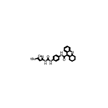 CC(C)(C)c1cc(NC(=O)Nc2ccc(NC(=O)c3c4c(nc5ccccc35)CCCC4)cc2)no1